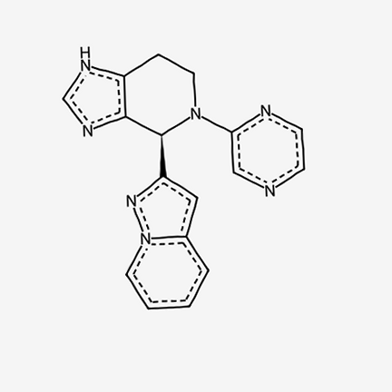 c1ccn2nc([C@H]3c4nc[nH]c4CCN3c3cnccn3)cc2c1